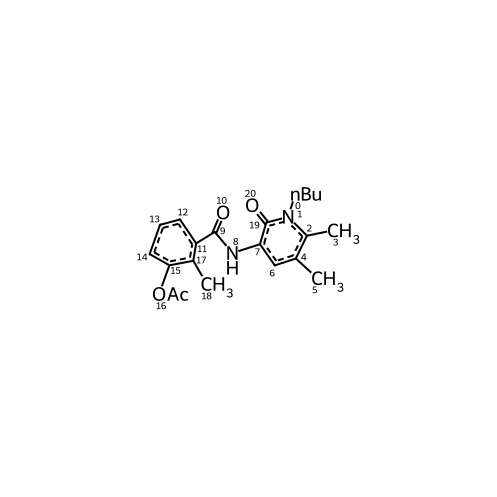 CCCCn1c(C)c(C)cc(NC(=O)c2cccc(OC(C)=O)c2C)c1=O